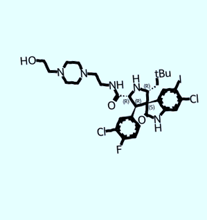 CC(C)(C)C[C@H]1N[C@@H](C(=O)NCCN2CCN(CCO)CC2)[C@H](c2ccc(F)c(Cl)c2)[C@@]12C(=O)Nc1cc(Cl)c(I)cc12